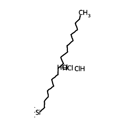 CCCCCCCCCCCCCCCCCC[Si].Cl.Cl.Cl